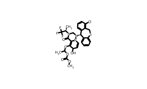 COC(=O)OC(C)OC1=C2C(=O)N([C@H](C)C(F)(F)F)CN([C@@H]3c4ccccc4SCc4c(Cl)cccc43)N2C=CC1O